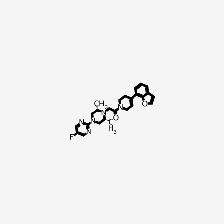 C[C@@H]1CN(c2ncc(F)cn2)C[C@H](C)N1CC(=O)N1CC=C(c2cccc3ccoc23)CC1